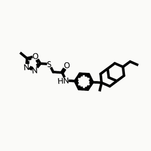 CCC1CC2CC(C1)CC(C)(c1ccc(NC(=O)CSc3nnc(C)o3)cc1)C2